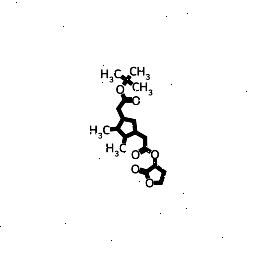 CC1C(CC(=O)OC2CCOC2=O)CC(CC(=O)OC(C)(C)C)C1C